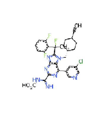 C#C[C@H]1CC[C@H](Cn2c(C(C)(F)c3c(F)cccc3F)nc3nc(C(=N)NC(=O)O)nc(-c4cncc(Cl)c4)c32)CC1